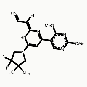 CC/C(C=N)=C1\N=C(c2cnc(OC)nc2OC)C=C(N2CC(C)(C)C(F)(F)C2)N1